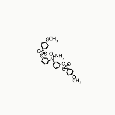 COc1ccc(S(=O)(=O)Oc2cccc(N(C(N)=O)c3cccc(OS(=O)(=O)c4ccc(OC)cc4)c3)c2)cc1